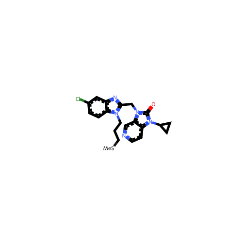 CSCCCn1c(Cn2c(=O)n(C3CC3)c3ccncc32)nc2cc(Cl)ccc21